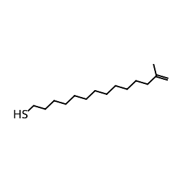 C=C(C)CCCCCCCCCCCCS